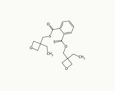 CCC1(COC(=S)c2ccccc2C(=O)SCC2(CC)COC2)COC1